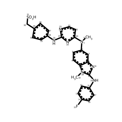 CN(c1ccc2c(c1)nc(Nc1ccc(F)cc1)n2C)c1ccnc(Nc2ccc(CS(=O)(=O)O)cc2)n1